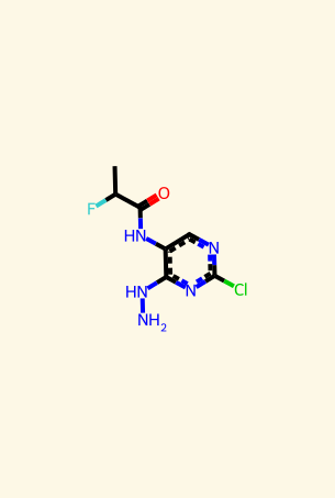 CC(F)C(=O)Nc1cnc(Cl)nc1NN